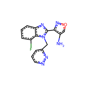 Nc1conc1-c1nc2cccc(F)c2n1Cc1cccnn1